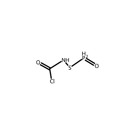 O=[PH2]SNC(=O)Cl